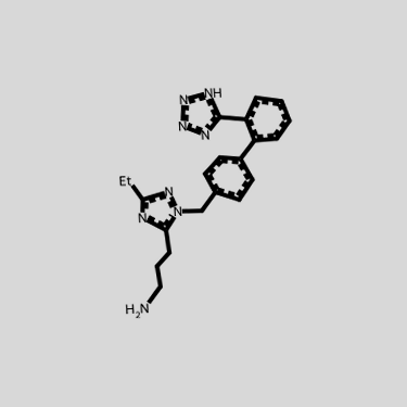 CCc1nc(CCCN)n(Cc2ccc(-c3ccccc3-c3nnn[nH]3)cc2)n1